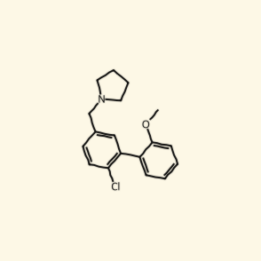 COc1ccccc1-c1cc(CN2CCCC2)ccc1Cl